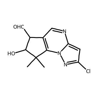 CC1(C)c2c(cnc3cc(Cl)nn23)C(C=O)C1O